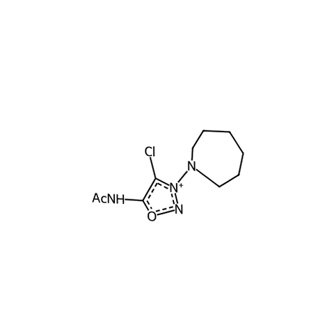 CC(=O)[N-]c1on[n+](N2CCCCCC2)c1Cl